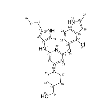 C/C=C/c1cc(Nc2cc(N3CCC(CO)CC3)nc(Oc3ccc4[nH]c(C)cc4c3Cl)n2)n[nH]1